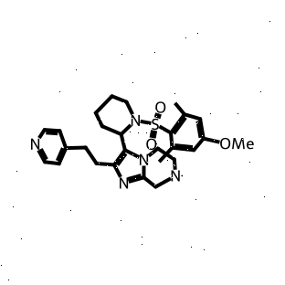 COc1cc(C)c(S(=O)(=O)N2CCCCC2c2c(CCc3ccncc3)nc3n2CC[N]C3)c(C)c1